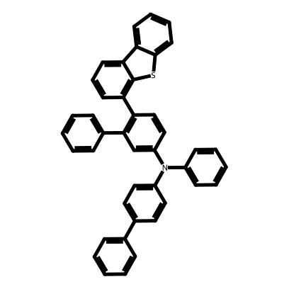 c1ccc(-c2ccc(N(c3ccccc3)c3ccc(-c4cccc5c4sc4ccccc45)c(-c4ccccc4)c3)cc2)cc1